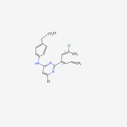 C=C/C=C(\C=C(/C)Cl)c1nc(CC)cc(Nc2ccc(CC(=O)OCC)cc2)n1